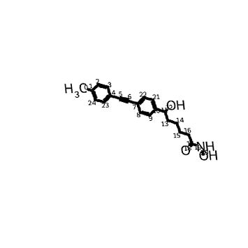 Cc1ccc(C#Cc2ccc(C(O)CCCCC(=O)NO)cc2)cc1